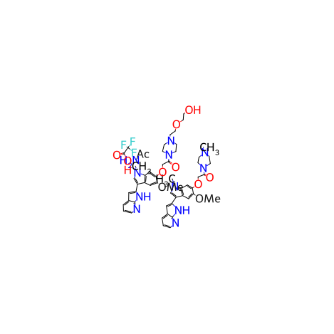 CC(N)=O.COc1cc2c(-c3cc4cccnc4[nH]3)cn(C)c2cc1OCC(=O)N1CCN(C)CC1.COc1cc2c(-c3cc4cccnc4[nH]3)cn(C)c2cc1OCC(=O)N1CCN(CCOCCO)CC1.O=C(O)C(F)(F)F